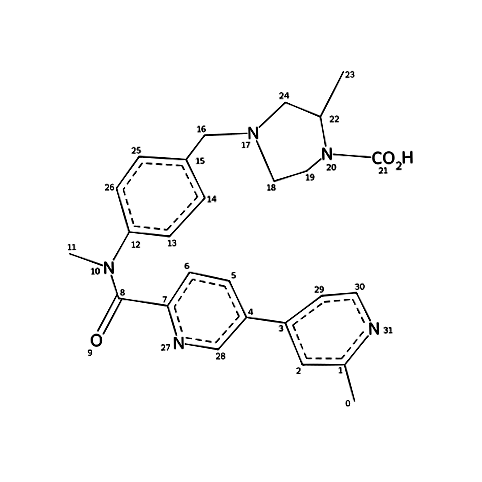 Cc1cc(-c2ccc(C(=O)N(C)c3ccc(CN4CCN(C(=O)O)C(C)C4)cc3)nc2)ccn1